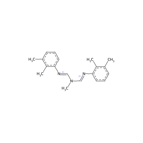 Cc1cccc(/N=C/N(C)/C=N/c2cccc(C)c2C)c1C